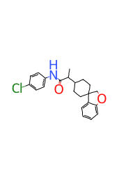 CC(C(=O)Nc1ccc(Cl)cc1)C1CCC2(CC1)COc1ccccc12